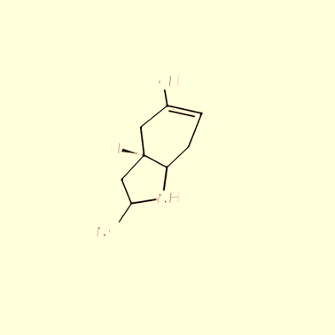 CC1=CCC2NC(C#N)C[C@@H]2C1